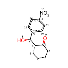 O=C1CCCC[C@@H]1[C@@H](O)c1ccc([N+](=O)[O-])cc1